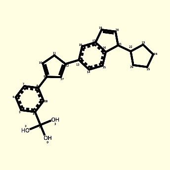 OC(O)(O)c1cccc(C2=CCC(c3ccc4c(c3)C=CC4C3CCCC3)=C2)c1